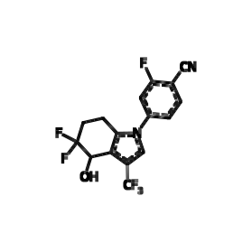 N#Cc1ccc(-n2cc(C(F)(F)F)c3c2CCC(F)(F)C3O)cc1F